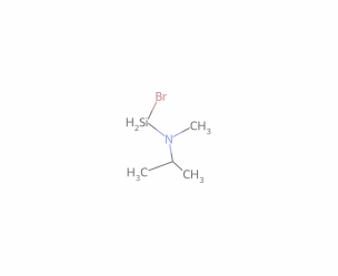 CC(C)N(C)[SiH2]Br